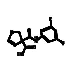 O=C(O)C1(C(=O)Nc2cc(F)cc(F)c2)C=COC1